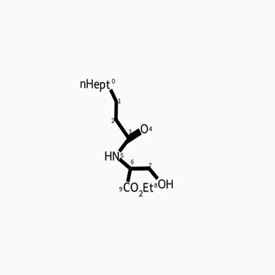 CCCCCCCCCC(=O)NC(CO)C(=O)OCC